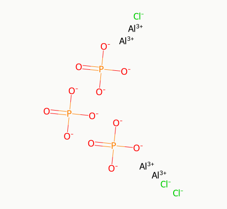 O=P([O-])([O-])[O-].O=P([O-])([O-])[O-].O=P([O-])([O-])[O-].[Al+3].[Al+3].[Al+3].[Al+3].[Cl-].[Cl-].[Cl-]